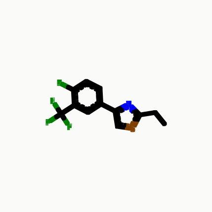 CCc1nc(-c2ccc(F)c(C(F)(F)F)c2)cs1